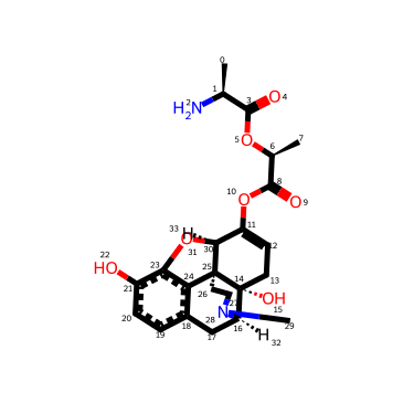 C[C@H](N)C(=O)O[C@@H](C)C(=O)OC1=CC[C@@]2(O)[C@H]3Cc4ccc(O)c5c4[C@@]2(CCN3C)[C@H]1O5